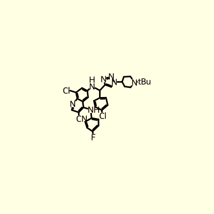 CC(C)(C)N1CCC(n2cc(C(Nc3cc(Cl)c4ncc(C#N)c(Nc5ccc(F)cc5)c4c3)c3ccc(Cl)cc3)nn2)CC1